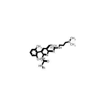 C=C(/N=C1/N=C(NC(=O)NCC)C(c2c(C)cccc2C)=C/C1=C/N)NCCCN(C)C